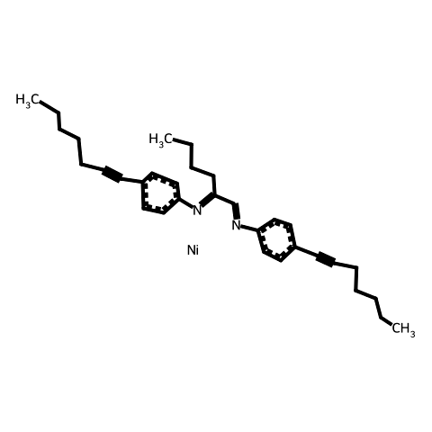 CCCCCC#Cc1ccc(N=CC(CCCC)=Nc2ccc(C#CCCCCC)cc2)cc1.[Ni]